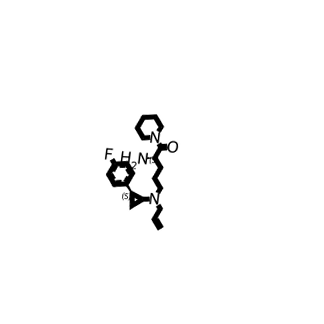 C=CCN(CCC[C@H](N)C(=O)N1CCCCC1)C1C[C@H]1c1ccc(F)cc1